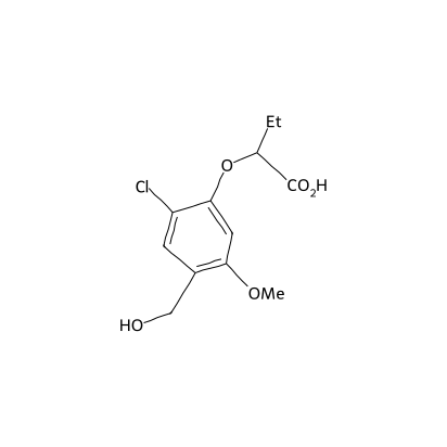 CCC(Oc1cc(OC)c(CO)cc1Cl)C(=O)O